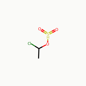 CC(Cl)O[SH](=O)=O